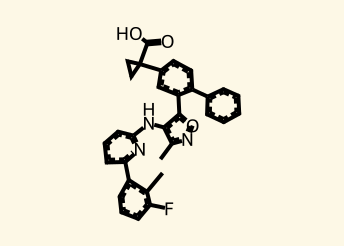 Cc1noc(-c2cc(C3(C(=O)O)CC3)ccc2-c2ccccc2)c1Nc1cccc(-c2cccc(F)c2C)n1